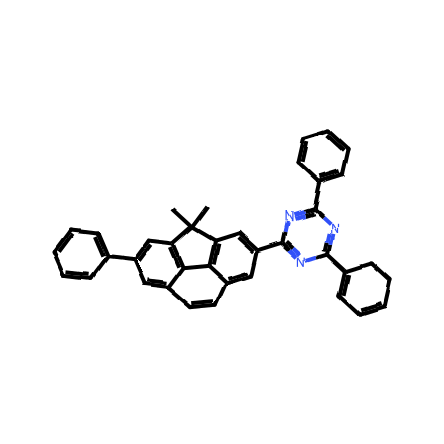 CC1(C)c2cc(-c3ccccc3)cc3ccc4cc(-c5nc(C6=CC=CCC6)nc(-c6ccccc6)n5)cc1c4c23